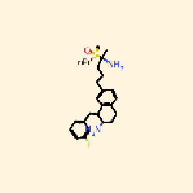 C=S(=O)(CCC)C(C)(N)CCCc1ccc2c(c1)C(Cc1cccc(F)c1)C(N)CC2